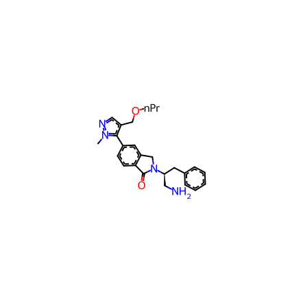 CCCOCc1cnn(C)c1-c1ccc2c(c1)CN([C@H](CN)Cc1ccccc1)C2=O